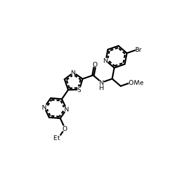 CCOc1cncc(-c2cnc(C(=O)NC(COC)c3cc(Br)ccn3)s2)n1